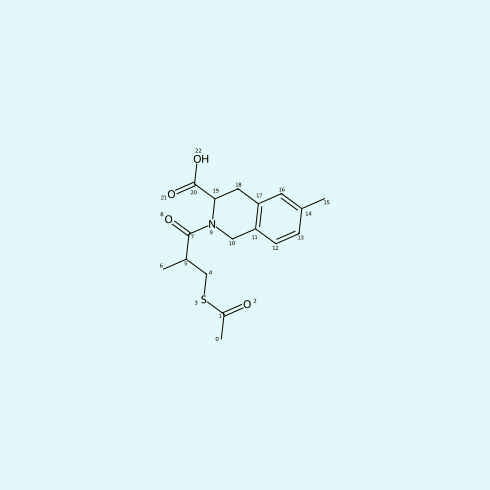 CC(=O)SCC(C)C(=O)N1Cc2ccc(C)cc2CC1C(=O)O